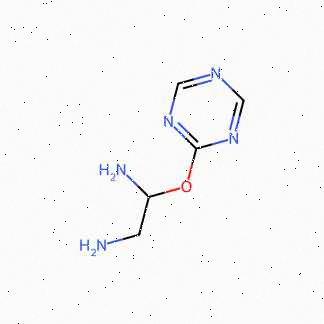 NCC(N)Oc1ncncn1